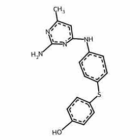 Cc1cc(Nc2ccc(Sc3ccc(O)cc3)cc2)nc(N)n1